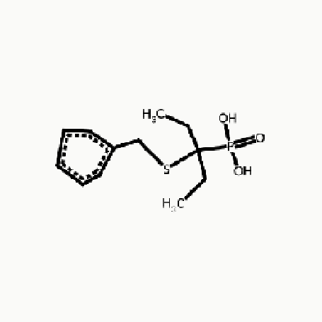 CCC(CC)(SCc1ccccc1)P(=O)(O)O